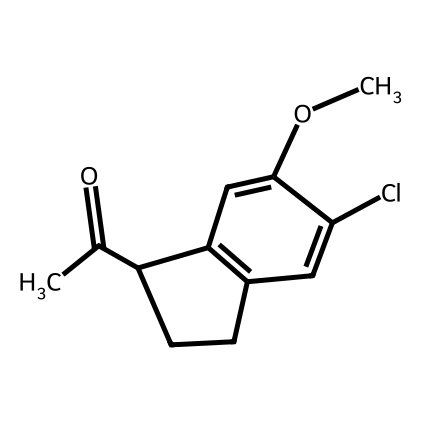 COc1cc2c(cc1Cl)CCC2C(C)=O